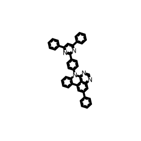 c1ccc(-c2cc3c4c(ncnc4c2)N(c2ccc(-c4nc(-c5ccccc5)cc(-c5ccccc5)n4)cc2)c2ccccc2-3)cc1